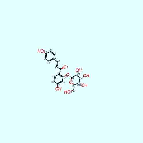 O=C(/C=C/c1ccc(O)cc1)c1ccc(O)cc1O[C@H]1O[C@@H](CO)[C@@H](O)[C@@H](O)[C@H]1O